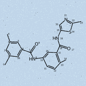 Cc1cc(C)cc(C(=O)Nc2ccc(C)c(C(=O)Nc3cnc(C)s3)c2)c1